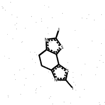 Ic1nc2c(s1)-c1sc(I)nc1CC2